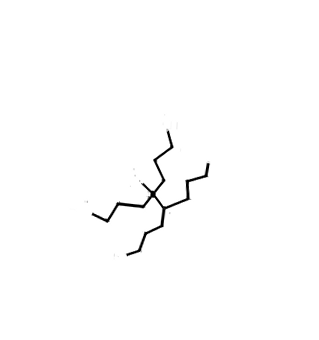 CCCCC(CCCC)C(N)(CCCC)CCCC